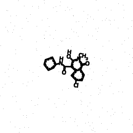 Cn1c(O)c(C(=O)Nc2ccccc2)c2cc(Cl)ccc2c1=O